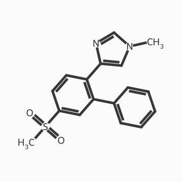 Cn1cnc(-c2ccc(S(C)(=O)=O)cc2-c2ccccc2)c1